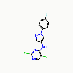 Fc1ccc(-n2cc(Nc3nc(Cl)ncc3Cl)cn2)cc1